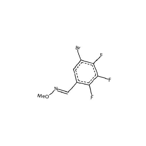 CO/N=C/c1cc(Br)c(F)c(F)c1F